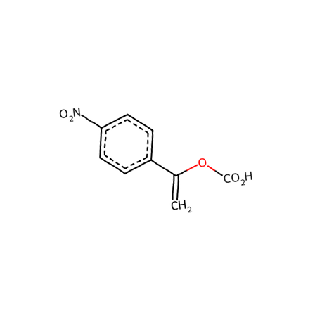 C=C(OC(=O)O)c1ccc([N+](=O)[O-])cc1